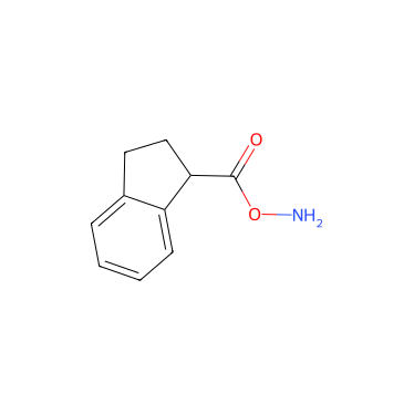 NOC(=O)C1CCc2ccccc21